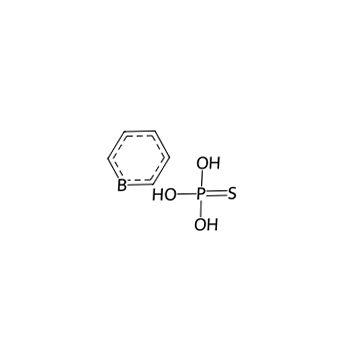 OP(O)(O)=S.b1ccccc1